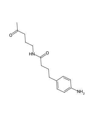 CC(=O)CCCNC(=O)CCCc1ccc(N)cc1